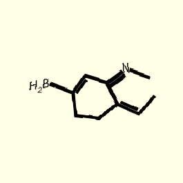 BC1=CC(=N/C)/C(=C\C)CC1